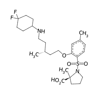 Cc1ccc(S(=O)(=O)N2CCC[C@@]2(C)C(=O)O)c(OCC[C@H](C)CCNC2CCC(F)(F)CC2)c1